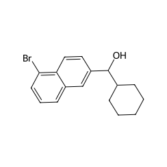 OC(c1ccc2c(Br)cccc2c1)C1CCCCC1